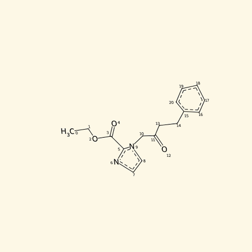 CCOC(=O)c1nccn1CC(=O)CCc1ccccc1